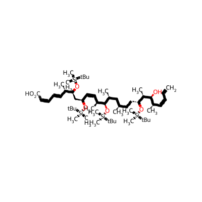 C=C/C=C\[C@H](C)[C@H](O)[C@@H](C)[C@@H](CC[C@H](C)C[C@@H](C)[C@@H](O[Si](C)(C)C(C)(C)C)[C@@H](C)/C=C\[C@H](C[C@H](O[Si](C)(C)C(C)(C)C)[C@@H](C)/C=C/C=C\C(=O)O)O[Si](C)(C)C(C)(C)C)O[Si](C)(C)C(C)(C)C